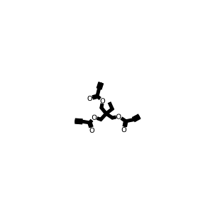 C#CC(=O)OCC(CC)(COC(=O)C#C)COC(=O)C#C